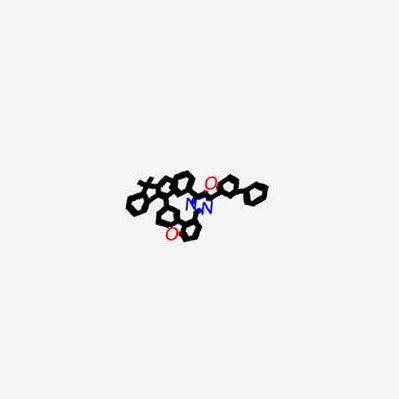 CC1(C)c2ccccc2-c2c(-c3ccc4oc5cccc(-c6nc(-c7ccccc7)c7oc8ccc(-c9ccccc9)cc8c7n6)c5c4c3)cccc21